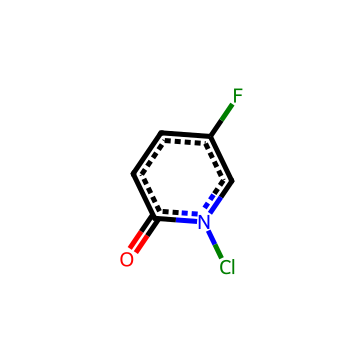 O=c1ccc(F)cn1Cl